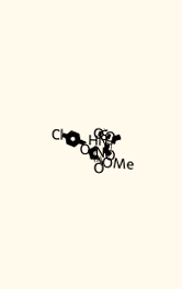 C=CC[C@@H](NS(C)(=O)=O)C(=O)N1C[C@H](OCc2ccc(Cl)cc2)C[C@H]1C(=O)OC